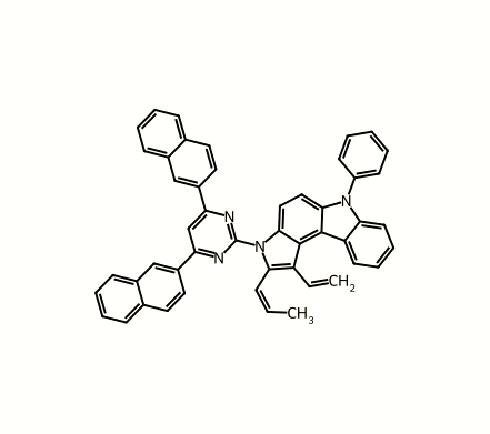 C=Cc1c(/C=C\C)n(-c2nc(-c3ccc4ccccc4c3)cc(-c3ccc4ccccc4c3)n2)c2ccc3c(c4ccccc4n3-c3ccccc3)c12